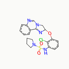 O=S(=O)(Nc1cccc(OC2CN3C=Nc4ccccc4C3=N2)c1Cl)N1CCCC1